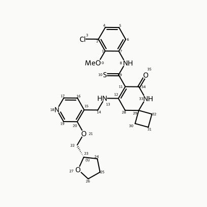 COc1c(Cl)cccc1NC(=S)C1=C(NCc2ccncc2OC[C@@H]2CCCO2)CC2(CCC2)NC1=O